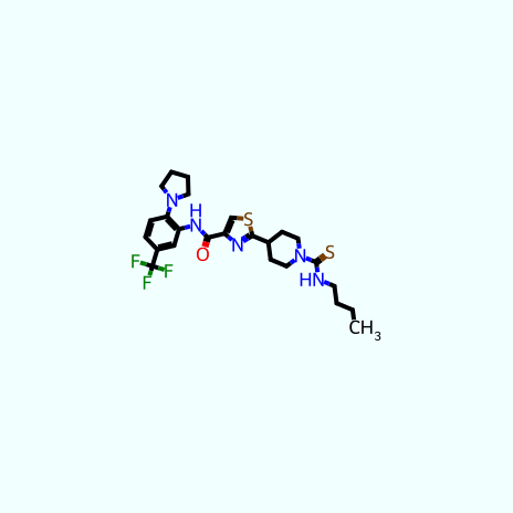 CCCCNC(=S)N1CCC(c2nc(C(=O)Nc3cc(C(F)(F)F)ccc3N3CCCC3)cs2)CC1